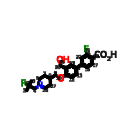 CC(C)(F)CN1CCC(COc2ccc(-c3ccc(C(=O)O)c(F)c3)cc2CO)CC1